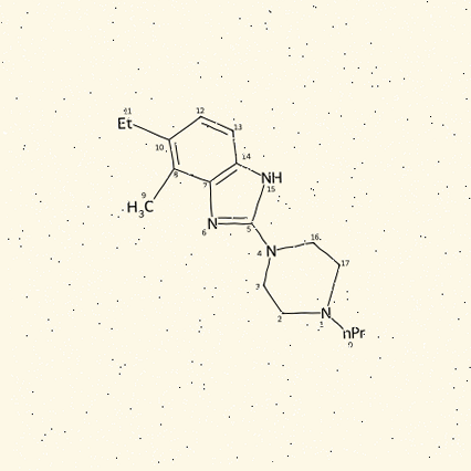 CCCN1CCN(c2nc3c(C)c(CC)ccc3[nH]2)CC1